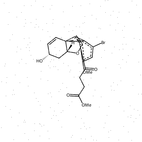 COC(=O)CCC(=O)N1CC[C@]23C=C[C@@H](O)C[C@H]2Oc2c(OC)cc(Br)c(c23)C1